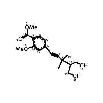 COC(=O)c1ccc(C#CC(C)(C)C(CO)CO)cc1OC